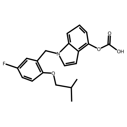 CC(C)COc1ccc(F)cc1Cn1ccc2c(OC(=O)O)cccc21